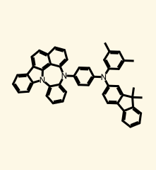 Cc1cc(C)cc(N(c2ccc(-n3c4cccc5ccc6c7ccccc7n(c7ccccc73)c6c54)cc2)c2ccc3c(c2)C(C)(C)c2ccccc2-3)c1